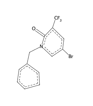 O=c1c(C(F)(F)F)cc(Br)cn1Cc1ccccc1